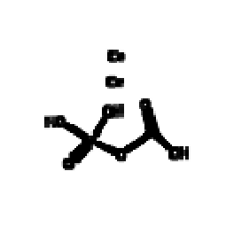 O=C(O)OP(=O)(O)O.[Ce].[Ce]